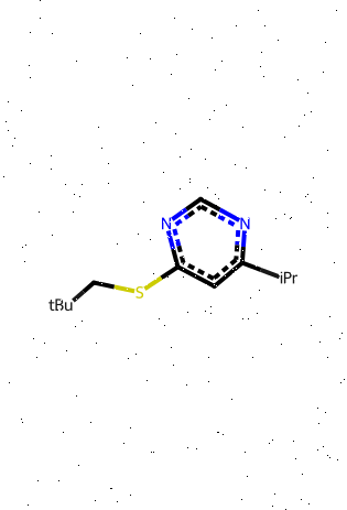 CC(C)c1cc(SCC(C)(C)C)ncn1